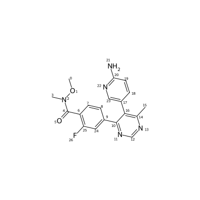 CON(C)C(=O)c1ccc(-c2ncnc(C)c2-c2ccc(N)nc2)cc1F